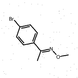 CON=C(C)c1ccc(Br)cc1